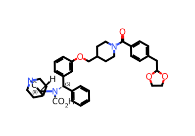 O=C(c1ccc(CC2OCCO2)cc1)N1CCC(COc2cccc([C@H](c3ccccc3)N(C(=O)O)[C@H]3CN4CCC3CC4)c2)CC1